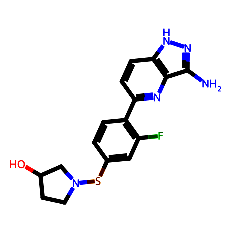 Nc1n[nH]c2ccc(-c3ccc(SN4CCC(O)C4)cc3F)nc12